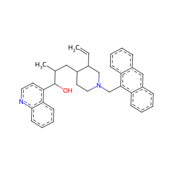 C=CC1CN(Cc2c3ccccc3cc3ccccc23)CCC1CC(C)C(O)c1ccnc2ccccc12